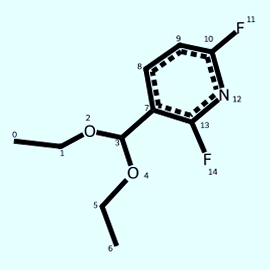 CCOC(OCC)c1ccc(F)nc1F